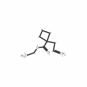 C=CCC1(C(=O)OCC)CCC1